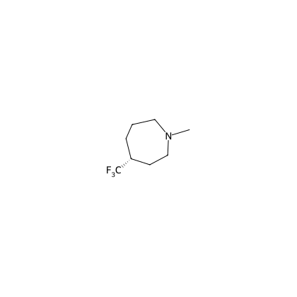 CN1CCC[C@@H](C(F)(F)F)CC1